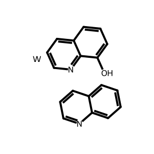 Oc1cccc2cccnc12.[W].c1ccc2ncccc2c1